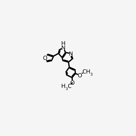 COc1ccc(-c2cnc3[nH]cc(-c4ccoc4)c3c2)cc1OC